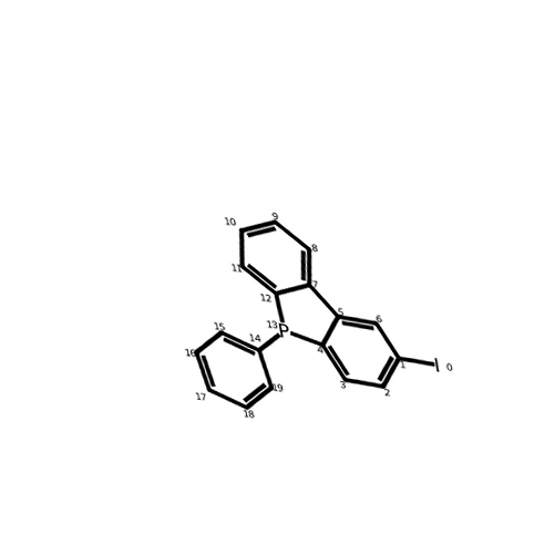 Ic1ccc2c(c1)c1ccccc1p2-c1ccccc1